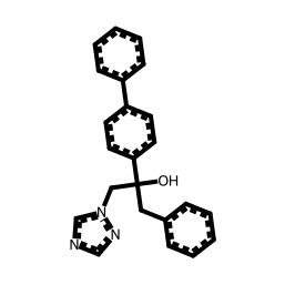 OC(Cc1ccccc1)(Cn1cncn1)c1ccc(-c2ccccc2)cc1